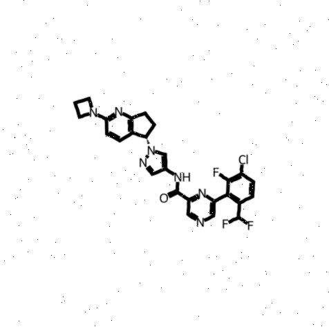 O=C(Nc1cnn([C@H]2CCc3nc(N4CCC4)ccc32)c1)c1cncc(-c2c(C(F)F)ccc(Cl)c2F)n1